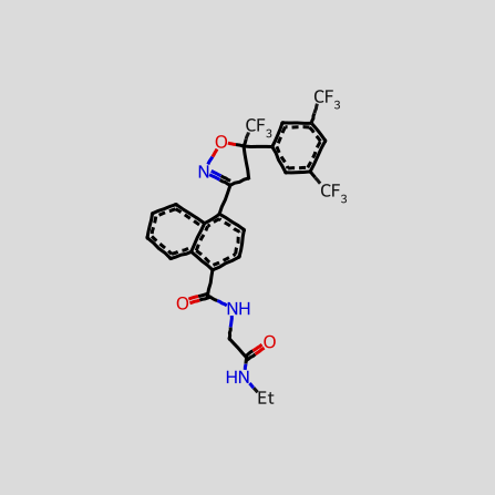 CCNC(=O)CNC(=O)c1ccc(C2=NOC(c3cc(C(F)(F)F)cc(C(F)(F)F)c3)(C(F)(F)F)C2)c2ccccc12